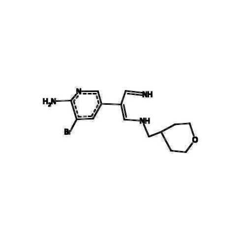 N=C/C(=C\NCC1CCOCC1)c1cnc(N)c(Br)c1